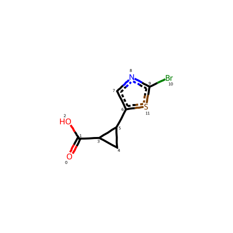 O=C(O)C1CC1c1cnc(Br)s1